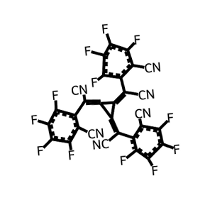 N#CC(=C1C(=C(C#N)c2c(F)c(F)c(F)c(F)c2C#N)C1=C(C#N)c1c(F)c(F)c(F)c(F)c1C#N)c1c(F)c(F)c(F)c(F)c1C#N